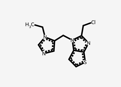 CCn1cncc1Cn1c(CCl)nc2sccc21